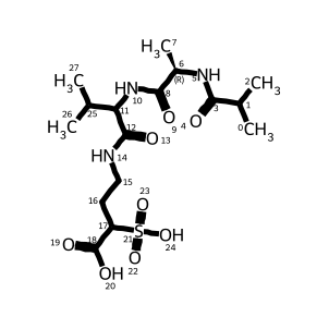 CC(C)C(=O)N[C@H](C)C(=O)NC(C(=O)NCCC(C(=O)O)S(=O)(=O)O)C(C)C